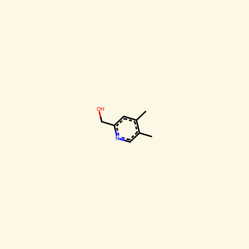 Cc1cnc(CO)cc1C